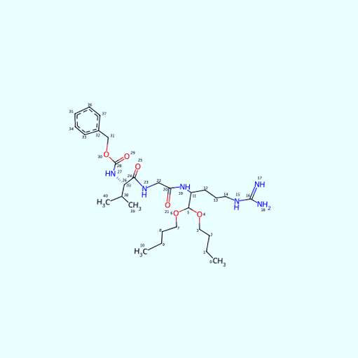 CCCCOC(OCCCC)C(CCCNC(=N)N)NC(=O)CNC(=O)[C@@H](NC(=O)OCc1ccccc1)C(C)C